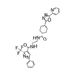 O=C(NCCNC(=O)[C@H]1CC[C@H](c2nnc(-c3ccccn3)o2)CC1)c1cn(-c2ccccc2)nc1C(F)(F)F